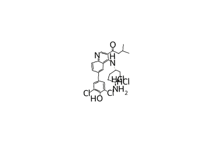 CC(C)CC(=O)c1cnc2ccc(-c3cc(Cl)c(O)c(Cl)c3)cc2c1N[C@H]1CC[C@H](N)CC1.Cl.Cl